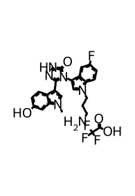 Cn1cc(-c2n[nH]c(=O)n2-c2cn(CCCN)c3ccc(F)cc23)c2ccc(O)cc21.O=C(O)C(F)(F)F